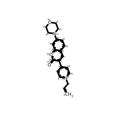 C=CC[n+]1ccc(-c2cc3ccc(N4CCOCC4)cc3oc2=O)cc1